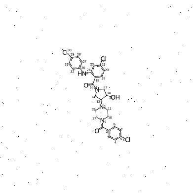 O=C(c1ccc(Cl)cc1)N1CCN(C2CN(C(=O)c3ccc(Cl)cc3Nc3ccc(Cl)cc3)CC2O)CC1